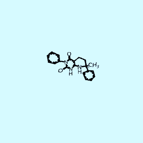 C[C@]1(c2ccccc2)CCc2c([nH]c(=O)n(-c3ccccc3)c2=O)N1